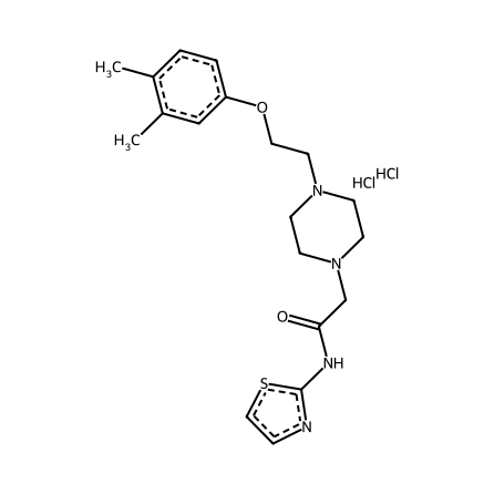 Cc1ccc(OCCN2CCN(CC(=O)Nc3nccs3)CC2)cc1C.Cl.Cl